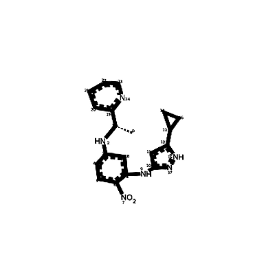 C[C@H](Nc1ccc([N+](=O)[O-])c(Nc2cc(C3CC3)[nH]n2)c1)c1ccccn1